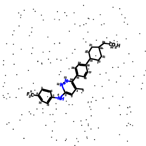 Cc1cc(Nc2ccc(C(F)(F)F)cc2)nnc1-c1ccc(C2CCC(CC(=O)O)CC2)cc1